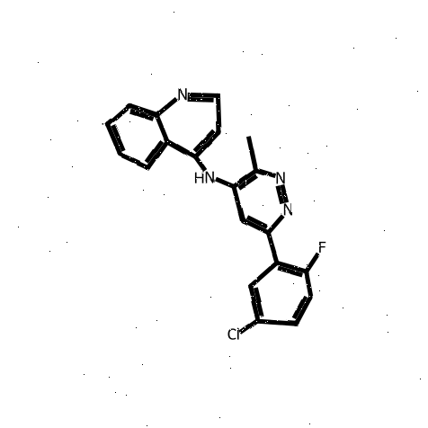 Cc1nnc(-c2cc(Cl)ccc2F)cc1Nc1ccnc2c[c]ccc12